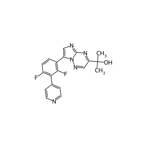 CC(C)(O)c1cnn2c(-c3ccc(F)c(-c4ccncc4)c3F)cnc2n1